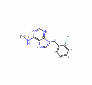 CCNc1ncnc2c1ncn2Cc1ccccc1F